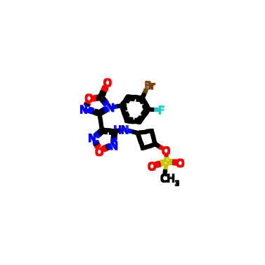 CS(=O)(=O)OC1CC(Nc2nonc2-c2noc(=O)n2-c2ccc(F)c(Br)c2)C1